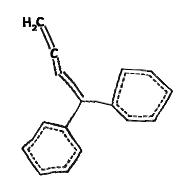 C=C=C=C(c1ccccc1)c1ccccc1